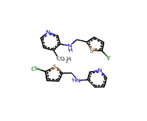 Clc1ccc(CNc2cccnc2)s1.O=C(O)c1ccncc1NCc1ccc(F)s1